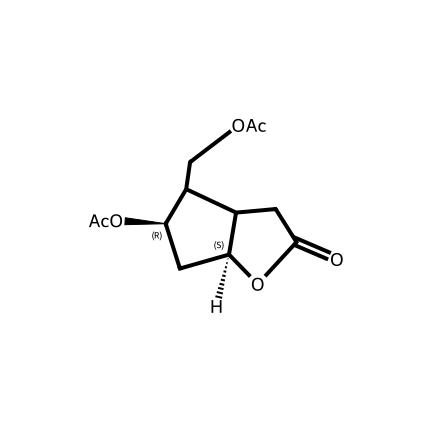 CC(=O)OCC1C2CC(=O)O[C@H]2C[C@H]1OC(C)=O